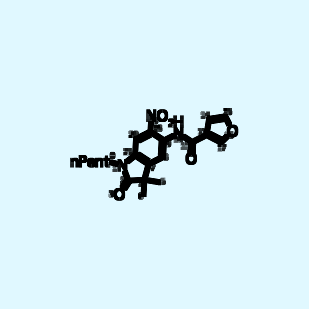 CCCCCN1C(=O)C(C)(C)c2cc(NC(=O)c3ccoc3)c([N+](=O)[O-])cc21